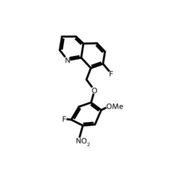 COc1cc([N+](=O)[O-])c(F)cc1OCc1c(F)ccc2cccnc12